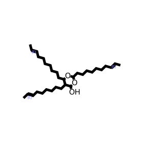 C/C=C/CCCCCCCC1OC(O)C(CCCCCC/C=C/C)C(CCCCCCC/C=C/C)O1